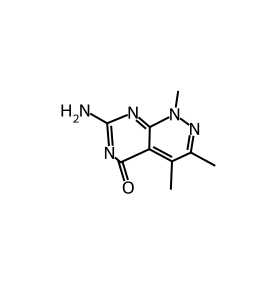 Cc1nn(C)c2nc(N)nc(=O)c-2c1C